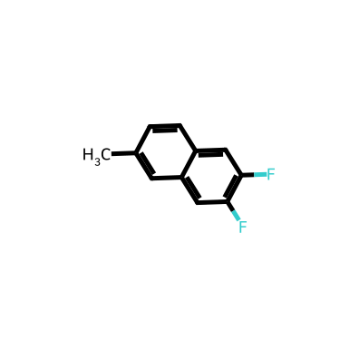 Cc1ccc2cc(F)c(F)cc2c1